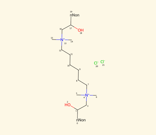 CCCCCCCCCC(O)C[N+](C)(C)CCCCCC[N+](C)(C)CC(O)CCCCCCCCC.[Cl-].[Cl-]